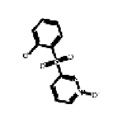 O=S(=O)(c1ccc[n+]([O-])n1)c1ccccc1Cl